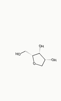 OC[C@H]1OC[C@@H](O)[C@H]1O